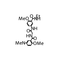 CCNC(=O)c1cc(NC(=O)CNC(=O)c2cc(NC)ccc2OC)ccc1OC